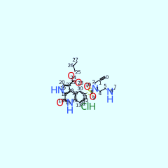 C#CCN(CCNC)S(=O)(=O)c1ccc2[nH]c(=O)c3[nH]cc(C(=O)OCCC)c3c2c1.Cl